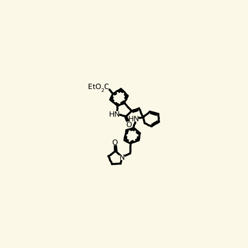 CCOC(=O)c1ccc2c(c1)NC(=O)C2=CC1(Nc2ccc(CN3CCCC3=O)cc2)C=CC=CC1